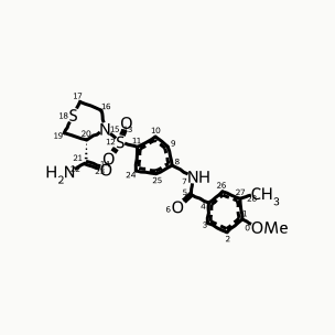 COc1ccc(C(=O)Nc2ccc(S(=O)(=O)N3CCSC[C@H]3C(N)=O)cc2)cc1C